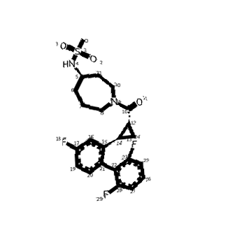 CS(=O)(=O)N[C@@H]1CCCN(C(=O)[C@@H]2C[C@H]2c2cc(F)ccc2-c2c(F)cccc2F)CC1